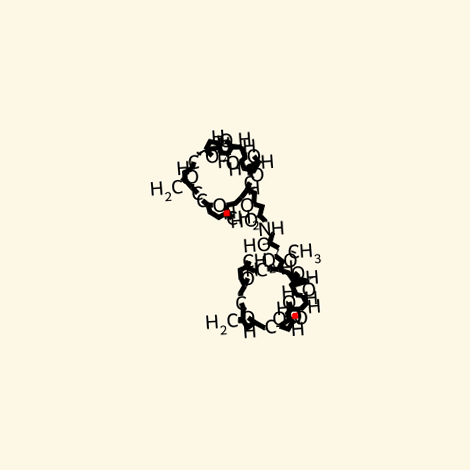 C=C1C[C@@H]2CC[C@@]34C[C@H]5OC6[C@@H](O[C@H]7CC[C@H](CC(=O)C[C@@H]8CC(C[C@H](O)CNC[C@@H](O)C[C@H]9OC%10C[C@H]%11OC(CCC%11=C)CCC%11O[C@@H](CC[C@@]%12%13C[C@H]%14OC%15[C@@H](O[C@H]%16CC[C@H](CC(=O)C[C@@H]%10[C@H]9OC)O[C@@H]%16[C@@H]%15O%12)[C@H]%14O%13)CC%11=C)OC8C[C@H]8OC(CCC8=C)CCC1O2)O[C@@H]7[C@@H]6O3)[C@H]5O4